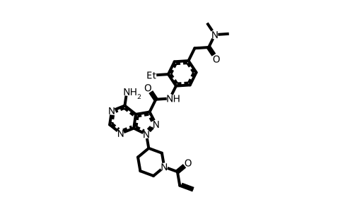 C=CC(=O)N1CCCC(n2nc(C(=O)Nc3ccc(CC(=O)N(C)C)cc3CC)c3c(N)ncnc32)C1